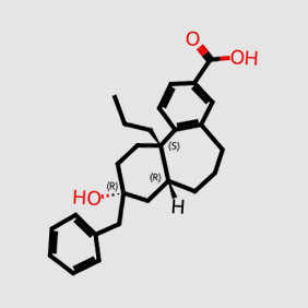 CCC[C@]12CC[C@](O)(Cc3ccccc3)C[C@H]1CCCc1cc(C(=O)O)ccc12